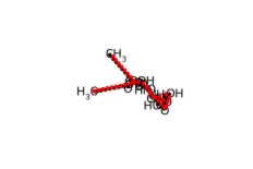 CCCCCCCCCCCCCCCC(=O)OC[C@H](COP(=O)(O)OCCNC(=O)CNC(=O)c1ccc(-c2c3ccc(=O)cc-3oc3cc(O)ccc23)c(C(=O)O)c1)OC(=O)CCCCCCCCCCCCCCC